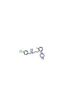 Cc1cccc(N2CCN(C)CC2)c1CCCNCc1ccc(Cl)cc1